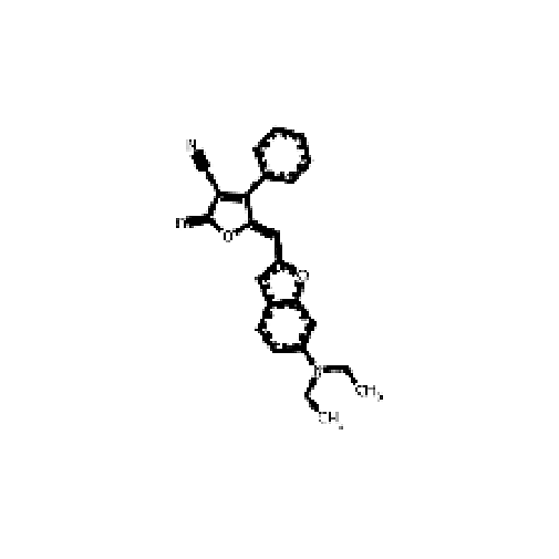 CCN(CC)c1ccc2cc(/C=C3\OC(=O)C(C#N)=C3c3ccccc3)oc2c1